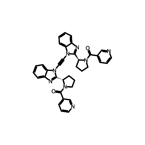 O=C(c1cccnc1)N1CCC[C@H]1c1nc2ccccc2n1C#Cn1c([C@@H]2CCCN2C(=O)c2cccnc2)nc2ccccc21